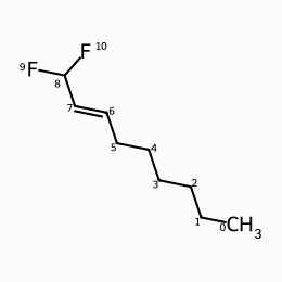 CCCCCCC=CC(F)F